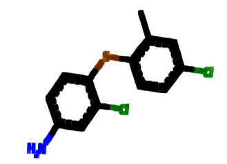 Cc1cc(Cl)ccc1Sc1ccc(N)cc1Cl